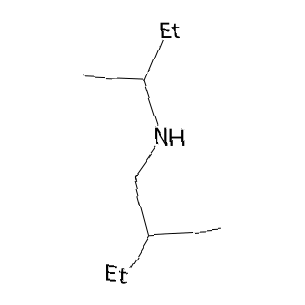 CCC(C)CNC(C)CC